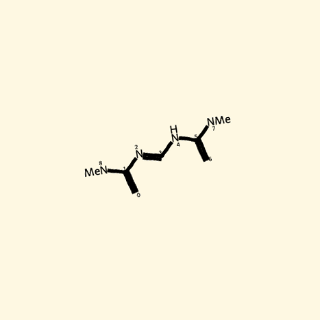 C=C(/N=C/NC(=C)NC)NC